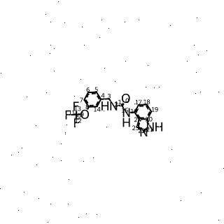 O=C(NCc1cccc(OC(F)(F)F)c1)Nc1cccc2[nH]ncc12